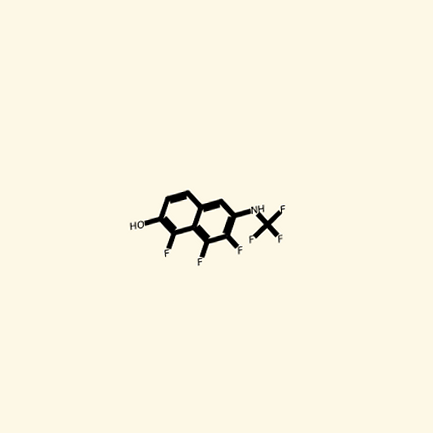 Oc1ccc2cc(NC(F)(F)F)c(F)c(F)c2c1F